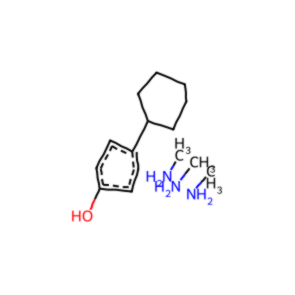 CN.CN.CN.Oc1ccc(C2CCCCC2)cc1